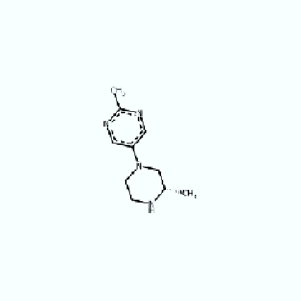 Cc1ncc(N2CCN[C@@H](C)C2)cn1